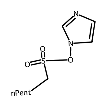 CCCCCCS(=O)(=O)On1ccnc1